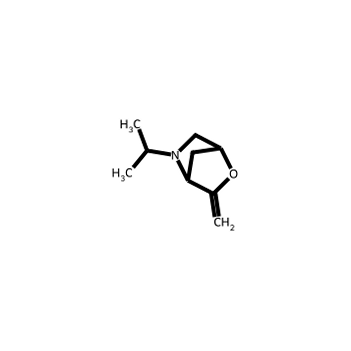 C=C1OC2CC1N(C(C)C)C2